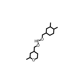 CC1CC(COPOCC2CCC(C)C(C)C2)CCO1